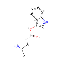 CC(N)CCC(=O)Oc1c[nH]c2ccccc12